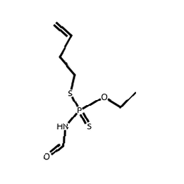 C=CCCSP(=S)(NC=O)OCC